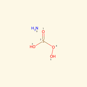 N.O=S(O)OO